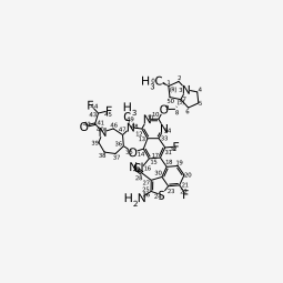 C[C@H]1CN2CCC[C@@]2(COc2nc3c4c(c(Cl)c(-c5ccc(F)c6sc(N)c(C#N)c56)c(F)c4n2)OC2CCCN(C(=O)C(F)F)CC2N3C)C1